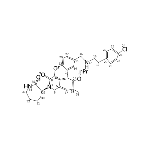 CCCOc1ccc(CN(C(=O)COc2ccc(CNCCc3ccc(Cl)cc3)cc2)[C@H]2CCCCNC2=O)cc1C